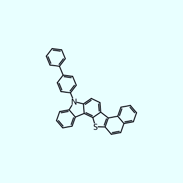 c1ccc(-c2ccc(-n3c4ccccc4c4c5sc6ccc7ccccc7c6c5ccc43)cc2)cc1